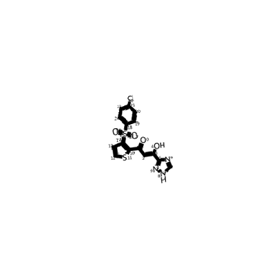 O=C(C=C(O)c1nc[nH]n1)c1sccc1S(=O)(=O)c1ccc(Cl)cc1